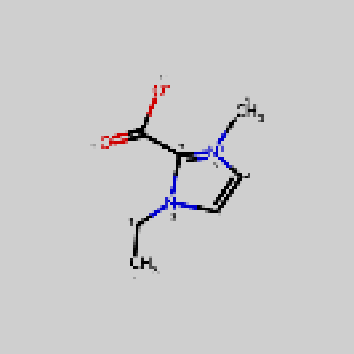 CCn1cc[n+](C)c1C(=O)[O-]